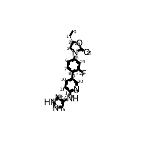 CC[C@H]1CN(c2ccc(-c3ccc(Nc4cn[nH]n4)nc3)c(F)c2)C(=O)O1